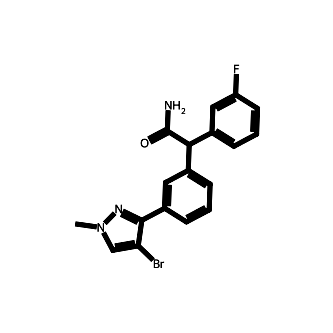 Cn1cc(Br)c(-c2cccc(C(C(N)=O)c3cccc(F)c3)c2)n1